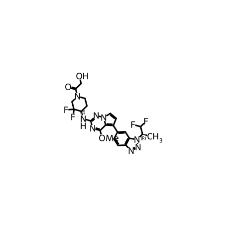 COc1nc(N[C@@H]2CCN(C(=O)CO)CC2(F)F)nn2ccc(-c3ccc4nnn([C@H](C)C(F)F)c4c3)c12